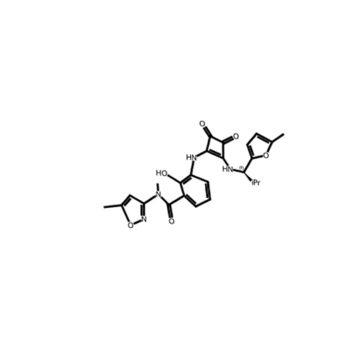 Cc1cc(N(C)C(=O)c2cccc(Nc3c(N[C@@H](c4ccc(C)o4)C(C)C)c(=O)c3=O)c2O)no1